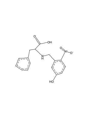 O=C(O)C(Cc1ccccc1)NCc1cc(O)ccc1[N+](=O)[O-]